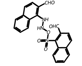 O=Cc1ccc2ccccc2c1NNOS(=O)(=O)c1c(C=O)ccc2ccccc12